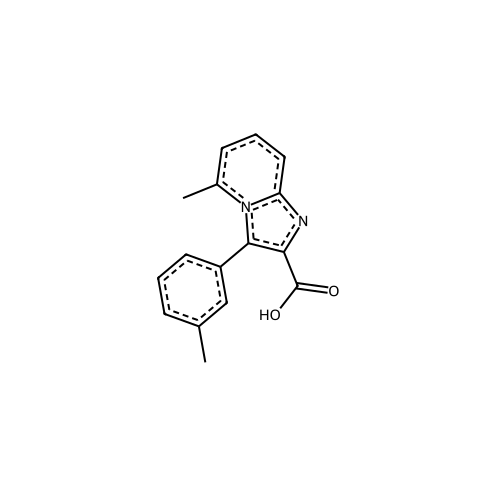 Cc1cccc(-c2c(C(=O)O)nc3cccc(C)n23)c1